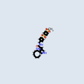 CS(=O)(=O)c1ccc(S(=O)(=O)c2ccc(CNC(=O)c3cc4c([nH]3)C3(CCCCCCCCCC3)CNC4)cc2)cc1